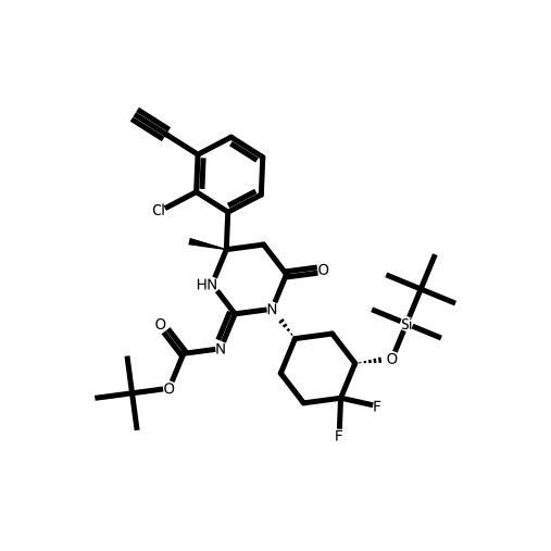 C#Cc1cccc([C@]2(C)CC(=O)N([C@H]3CCC(F)(F)[C@@H](O[Si](C)(C)C(C)(C)C)C3)/C(=N/C(=O)OC(C)(C)C)N2)c1Cl